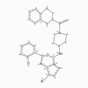 O=C(C1COc2ccccc2O1)N1CCC(Nc2cc(-c3ccccc3Cl)nc3c(Br)cnn23)CC1